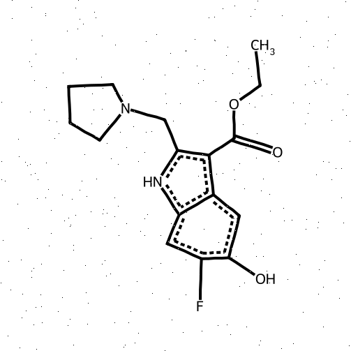 CCOC(=O)c1c(CN2CCCC2)[nH]c2cc(F)c(O)cc12